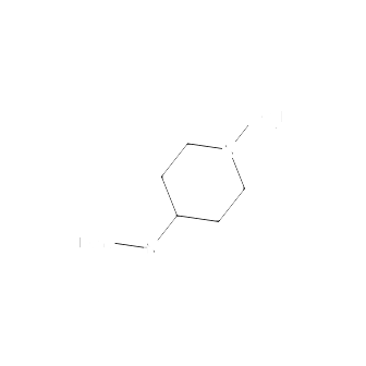 CCCCCNC1CCN(C(=O)OCC)CC1